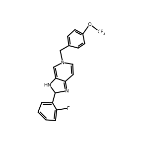 Fc1ccccc1C1N=C2C=CN(Cc3ccc(OC(F)(F)F)cc3)C=C2N1